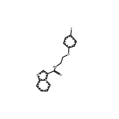 O=C(NCCOc1ccc(F)cc1)c1cnc2ccccn12